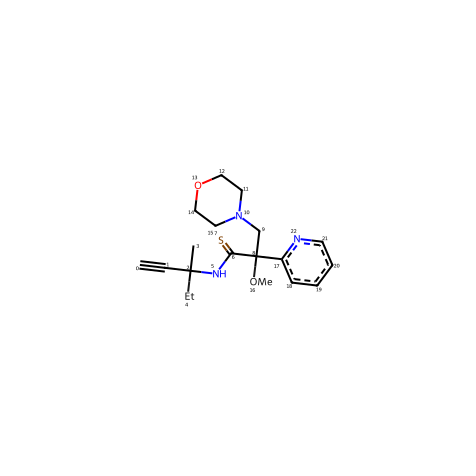 C#CC(C)(CC)NC(=S)C(CN1CCOCC1)(OC)c1ccccn1